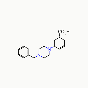 O=C(O)[C@@H]1CC=C[C@H](N2CCN(Cc3ccccc3)CC2)C1